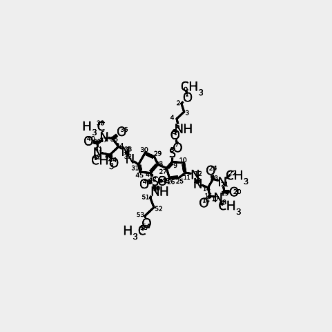 COCCCNOOSc1cc(N=NC2C(=O)N(C)C(=O)N(C)C2=O)ccc1-c1ccc(N=NC2C(=O)N(C)C(=O)N(C)C2=O)cc1S(=O)(=O)NCCCOC